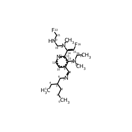 CCCC(CC)C/N=C\c1ccnc(/C(=C/F)N(C)CNCF)c1N(C)CC